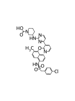 Cc1ccc2c(NS(=O)(=O)Cc3ccc(Cl)cc3)cccc2c1Oc1ncccc1-c1ccnc(NC2CCCN(C(=O)O)C2)n1